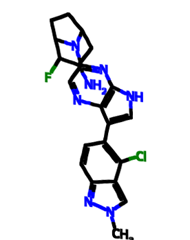 Cn1cc2c(Cl)c(-c3c[nH]c4nc(N5C6CCC5C(F)C(N)C6)cnc34)ccc2n1